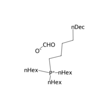 CCCCCCCCCCCCCC[P+](CCCCCC)(CCCCCC)CCCCCC.O=C[O-]